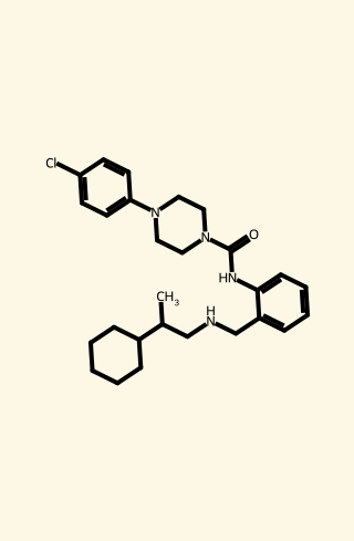 CC(CNCc1ccccc1NC(=O)N1CCN(c2ccc(Cl)cc2)CC1)C1CCCCC1